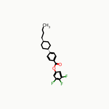 CCCC[C@H]1CC[C@H](c2ccc(C(=O)Oc3cc(F)c(F)c(F)c3)cc2)CC1